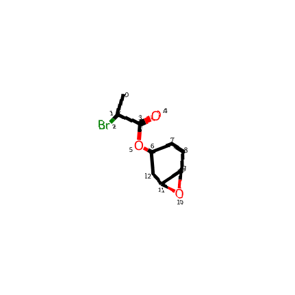 CC(Br)C(=O)OC1CCC2OC2C1